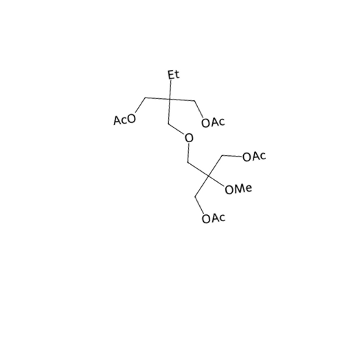 CCC(COCC(COC(C)=O)(COC(C)=O)OC)(COC(C)=O)COC(C)=O